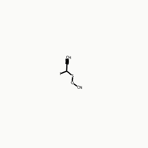 C#CC(I)SOC#N